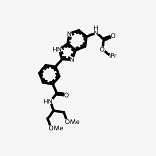 COCC(COC)NC(=O)c1cccc(-c2nc3cc(NC(=O)OC(C)C)cnc3[nH]2)c1